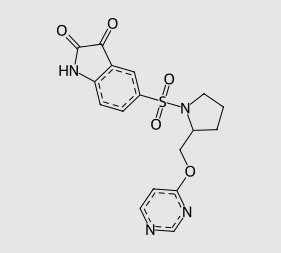 O=C1Nc2ccc(S(=O)(=O)N3CCCC3COc3ccncn3)cc2C1=O